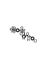 CC1C(=O)N(c2ccc(S(=O)(=O)C(F)(F)F)cc2)C(=O)N1Cc1ccncc1C(=O)NCc1ccc(Cl)cc1